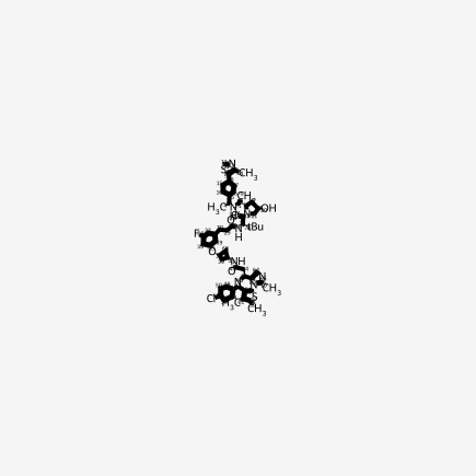 C=C(N[C@@H](C)c1ccc(-c2scnc2C)cc1)[C@@H]1C[C@@H](O)CN1C(=O)[C@@H](NC(=O)CCc1cc(F)cc(O[C@H]2C[C@@H](NC(=O)C[C@@H]3N=C(c4ccc(Cl)cc4)c4c(sc(C)c4C)-n4c3cnc4C)C2)c1)C(C)(C)C